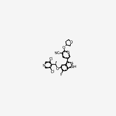 C[C@@H](Oc1cc2c(-c3cnc(O[C@@H]4CCOC4)c(C#N)c3)n[nH]c2cc1F)c1c(Cl)cncc1Cl